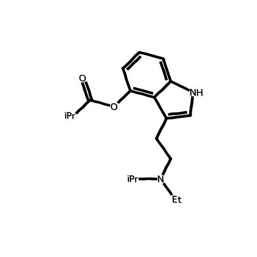 CCN(CCc1c[nH]c2cccc(OC(=O)C(C)C)c12)C(C)C